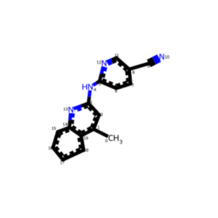 Cc1cc(Nc2ccc(C#N)cn2)nc2ccccc12